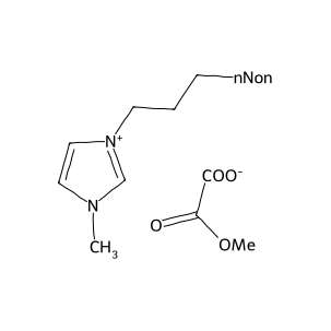 CCCCCCCCCCCC[n+]1ccn(C)c1.COC(=O)C(=O)[O-]